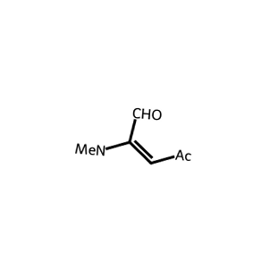 CN/C(C=O)=C/C(C)=O